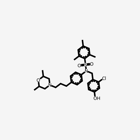 Cc1cc(C)c(S(=O)(=O)N(Cc2ccc(O)cc2Cl)c2ccc(CCCN3CC(C)OC(C)C3)cc2)c(C)c1